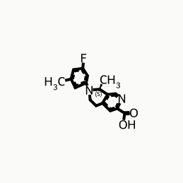 Cc1cc(F)cc(N2CCc3cc(C(=O)O)ncc3[C@@H]2C)c1